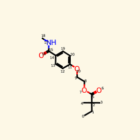 CCC(C)(C)C(=O)OCCOc1ccc(C(=O)NC)cc1